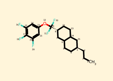 CCC[C@H]1CCC2C[C@H](C(F)(F)Oc3cc(F)c(F)c(F)c3)CCC2C1